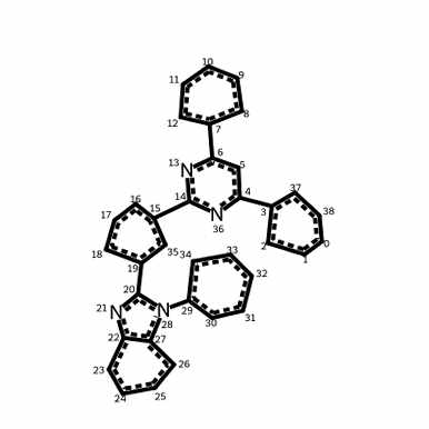 c1ccc(-c2cc(-c3ccccc3)nc(-c3cccc(-c4nc5ccccc5n4-c4ccccc4)c3)n2)cc1